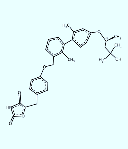 Cc1cc(O[C@@H](C)CC(C)(C)O)ccc1-c1cccc(COc2ccc(Cn3oc(=O)[nH]c3=O)cc2)c1C